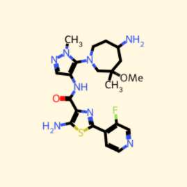 COC1(C)CC(N)CCN(c2c(NC(=O)c3nc(-c4ccncc4F)sc3N)cnn2C)C1